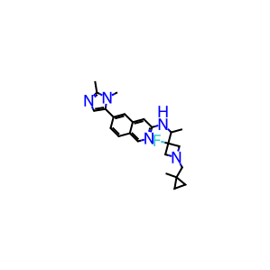 Cc1ncc(-c2ccc3cnc(NC(C)C4(F)CN(CC5(C)CC5)C4)cc3c2)n1C